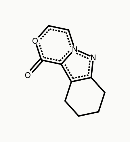 O=c1occn2nc3c(c12)CCCC3